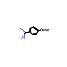 COc1ccc([C@@H](N)C(C)C)cc1